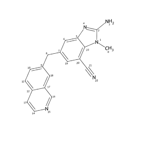 Cn1c(N)nc2cc(Cc3ccc4ccncc4c3)cc(C#N)c21